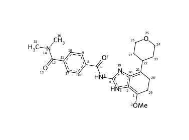 COC1=c2[nH]c(NC(=O)c3ccc(C(=O)N(C)C)cc3)nc2=C(C2CCOCC2)CC1